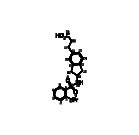 CC(C)c1ccccc1S(=O)(=O)NC1Cc2ccc(CCC(=O)O)cc2C1